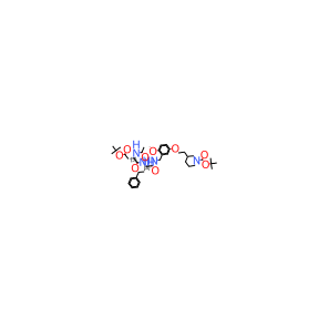 COc1ccc(OCCC2CCCN(C(=O)OC(C)(C)C)C2)cc1CNC(=O)[C@H](CCc1ccccc1)NC(=O)[C@H](CC(=O)OC(C)(C)C)NC(C)=O